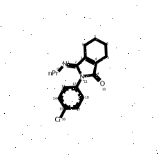 CCC/N=C1/C2=C(CCCC2)C(=O)N1c1ccc(Cl)cc1